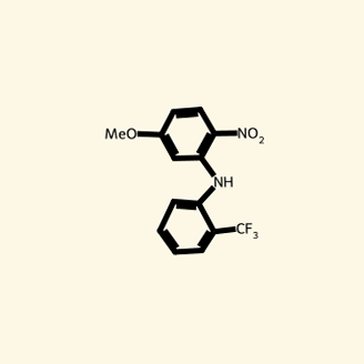 COc1ccc([N+](=O)[O-])c(Nc2ccccc2C(F)(F)F)c1